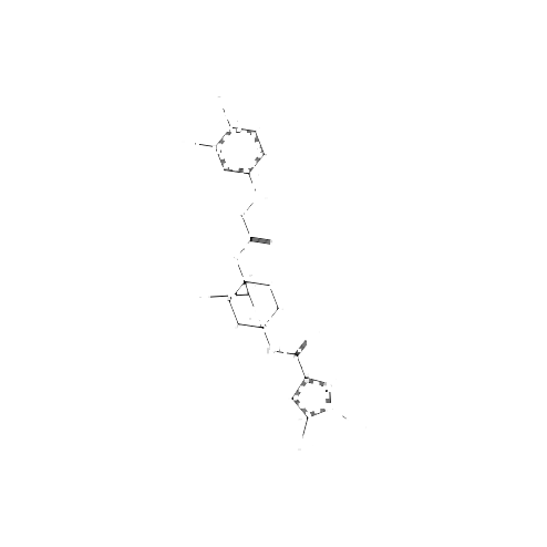 Cn1nc(C(=O)NC23CCC(NC(=O)COc4ccc(Cl)c(F)c4)(CC2)C(O)C3)cc1C(F)(F)F